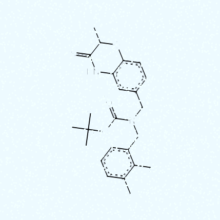 Cc1cccc(CN(Cc2ccc3c(c2)NC(=S)C(C)O3)C(=O)OC(C)(C)C)c1C